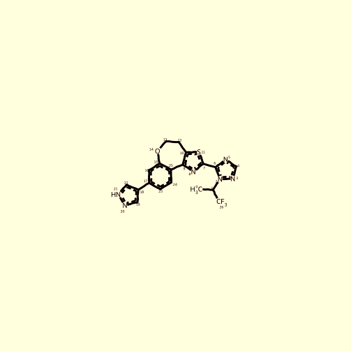 CC(n1ncnc1-c1nc2c(s1)CCOc1cc(-c3cn[nH]c3)ccc1-2)C(F)(F)F